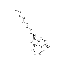 CCCCCCCCCNC(=O)N1CCC(=O)C2CCCCCC21